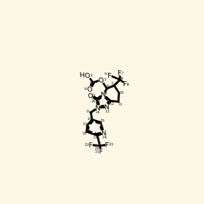 O=C(O)OC1C(C(F)(F)F)CCc2nn(Cc3ccc(C(F)(F)F)nc3)c(=O)n21